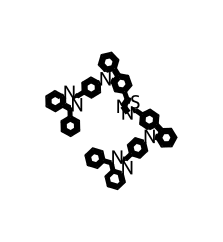 C1=CCC2C(=C1)N=C(c1ccc(-n3c4ccccc4c4ccc(-c5nnc(-c6ccc7c8ccccc8n(-c8ccc(-c9nc(-c%10ccccc%10)c%10ccccc%10n9)cc8)c7c6)s5)cc43)cc1)N=C2c1ccccc1